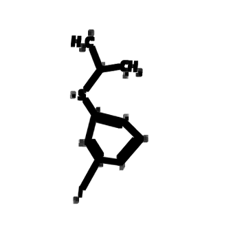 CC(C)Sc1cccc(I)c1